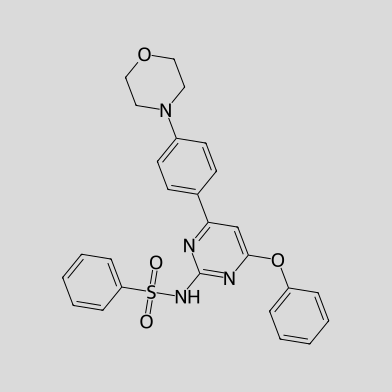 O=S(=O)(Nc1nc(Oc2ccccc2)cc(-c2ccc(N3CCOCC3)cc2)n1)c1ccccc1